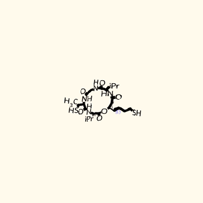 CC(C)C1NC(=O)C[C@@H](/C=C/CCS)OC(=O)[C@H](C(C)C)NC(=O)C(C(C)S)NC(=O)CNC1=O